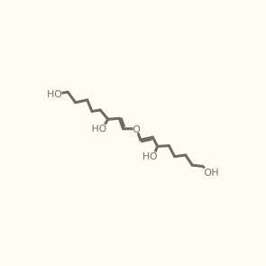 OCCCCCC(O)C=COC=CC(O)CCCCCO